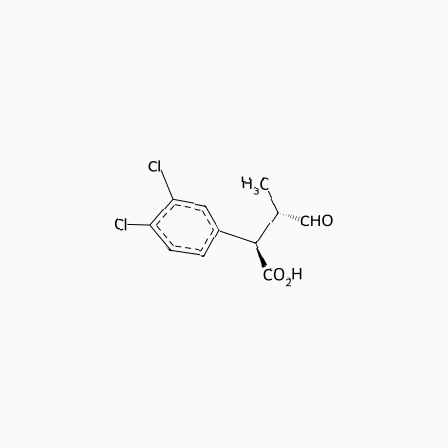 C[C@H](C=O)[C@@H](C(=O)O)c1ccc(Cl)c(Cl)c1